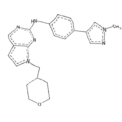 Cn1cc(-c2ccc(Nc3ncc4ccn(CC5CCOCC5)c4n3)cc2)cn1